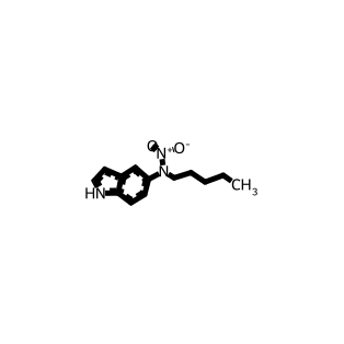 CCCCCN(c1ccc2[nH]ccc2c1)[N+](=O)[O-]